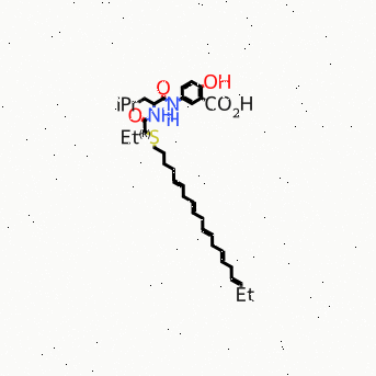 CCC=CCC=CCC=CCC=CCC=CCCCCS[C@H](CC)C(=O)NC(CC(C)C)C(=O)Nc1ccc(O)c(C(=O)O)c1